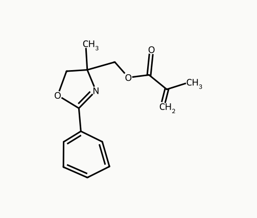 C=C(C)C(=O)OCC1(C)COC(c2ccccc2)=N1